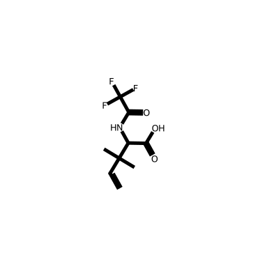 C=CC(C)(C)C(NC(=O)C(F)(F)F)C(=O)O